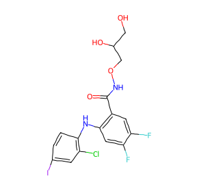 O=C(NOCC(O)CO)c1cc(F)c(F)cc1Nc1ccc(I)cc1Cl